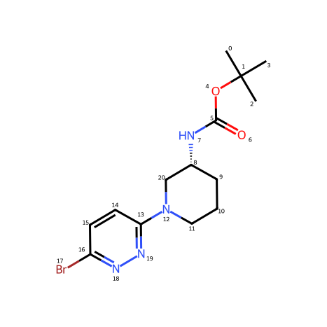 CC(C)(C)OC(=O)N[C@@H]1CCCN(c2ccc(Br)nn2)C1